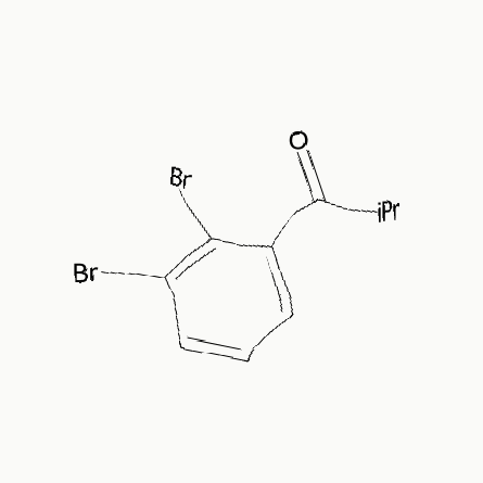 CC(C)C(=O)c1cccc(Br)c1Br